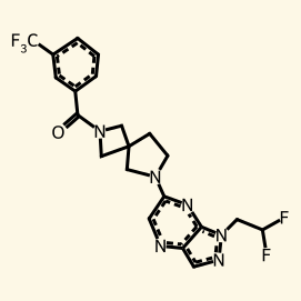 O=C(c1cccc(C(F)(F)F)c1)N1CC2(CCN(c3cnc4cnn(CC(F)F)c4n3)C2)C1